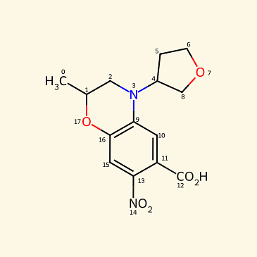 CC1CN(C2CCOC2)c2cc(C(=O)O)c([N+](=O)[O-])cc2O1